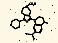 CC1CCN(c2nn(C3CCOCC3)c3c2CN(C(=O)O)CC3)c2cc(C(F)F)ccc21